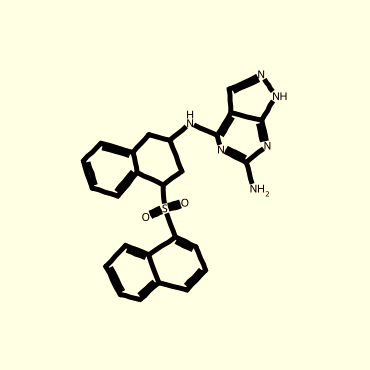 Nc1nc(NC2Cc3ccccc3C(S(=O)(=O)c3cccc4ccccc34)C2)c2cn[nH]c2n1